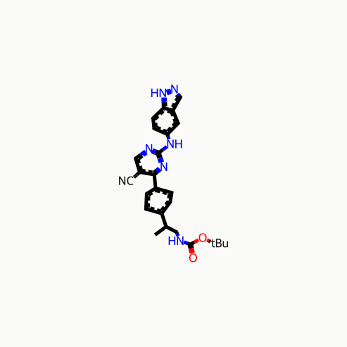 CC(CNC(=O)OC(C)(C)C)c1ccc(-c2nc(Nc3ccc4[nH]ncc4c3)ncc2C#N)cc1